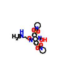 BNCCCON=C1c2ccc(S(=O)(=O)N3CCCCCCC3)cc2C(=NO)c2cc(S(=O)(=O)N3CCCCCCC3)ccc21